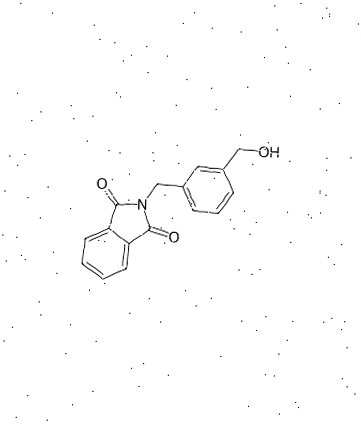 O=C1c2ccccc2C(=O)N1Cc1cccc(CO)c1